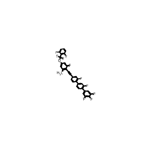 Cc1cc(OC(F)(F)c2c(F)cccc2F)cc(F)c1C#Cc1ccc(-c2ccc(-c3cc(F)c(F)c(F)c3)c(F)c2)c(F)c1